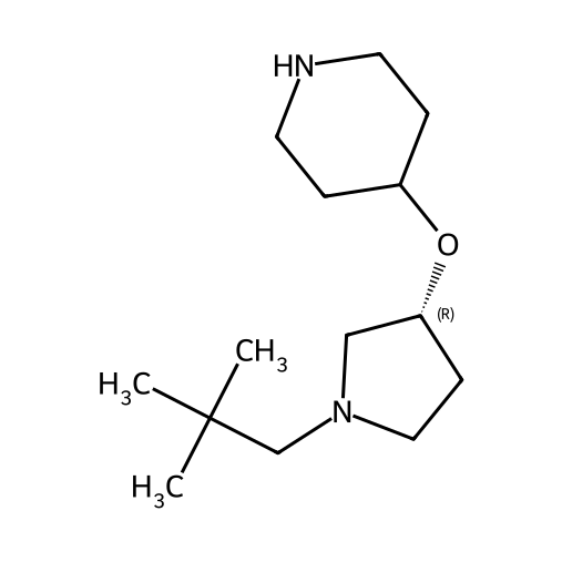 CC(C)(C)CN1CC[C@@H](OC2CCNCC2)C1